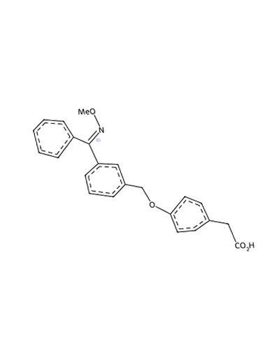 CO/N=C(\c1ccccc1)c1cccc(COc2ccc(CC(=O)O)cc2)c1